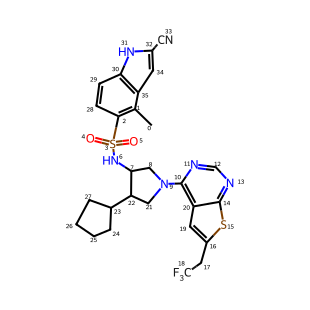 Cc1c(S(=O)(=O)NC2CN(c3ncnc4sc(CC(F)(F)F)cc34)CC2C2CCCC2)ccc2[nH]c(C#N)cc12